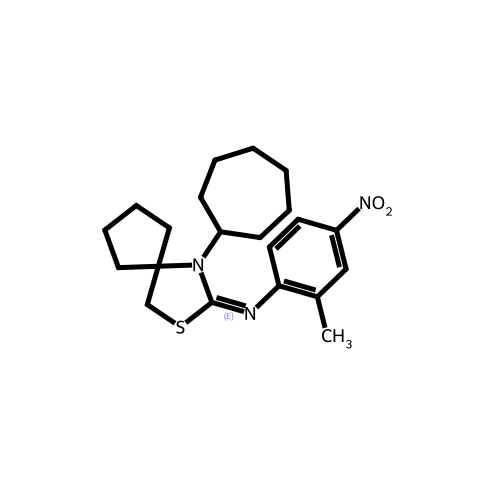 Cc1cc([N+](=O)[O-])ccc1/N=C1/SCC2(CCCC2)N1C1CCCCCC1